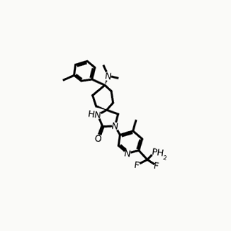 Cc1cccc([C@]2(N(C)C)CC[C@@]3(CC2)CN(c2cnc(C(F)(F)P)cc2C)C(=O)N3)c1